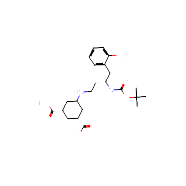 CC(C)(C)OC(=O)N[C@H](CCNC1C[C@@H](C(=O)O)C[C@@H](C(=O)O)C1)Cc1ccccc1O